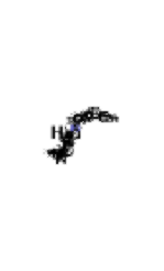 CCCCOCCOc1ccc(-c2ccc(C)c(/C=C/C(=O)Nc3ccc([S@+]([O-])Cc4cncn4CCC)cc3)c2)cc1